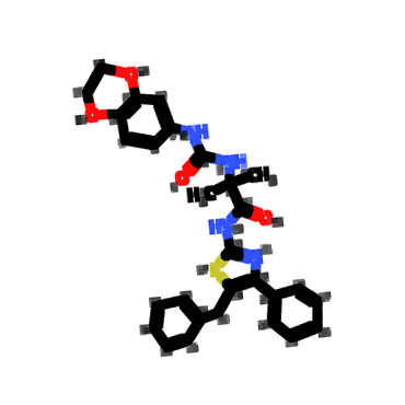 CC(C)(NC(=O)Nc1ccc2c(c1)OCCO2)C(=O)Nc1nc(-c2ccccc2)c(Cc2ccccc2)s1